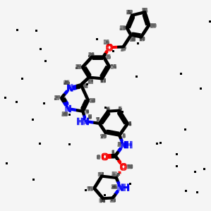 O=C(Nc1cccc(Nc2cc(-c3ccc(OCc4ccccc4)cc3)ncn2)c1)O[C@H]1CCCCN1